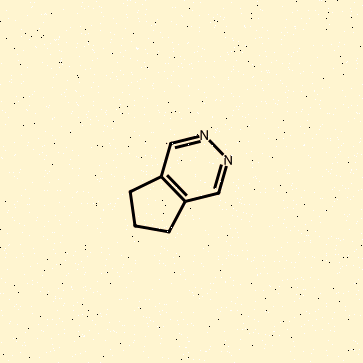 [c]1nncc2c1CCC2